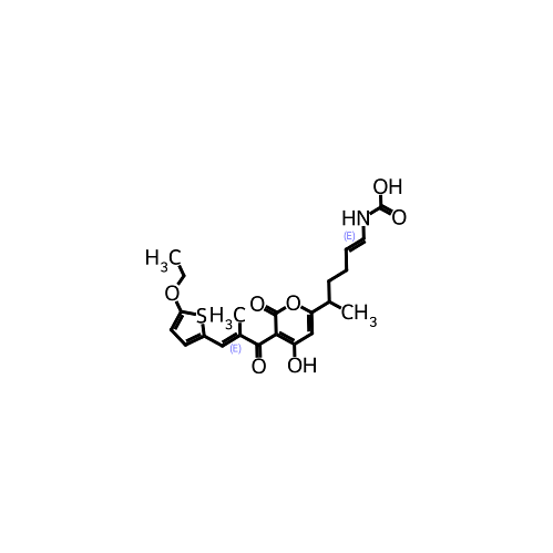 CCOc1ccc(/C=C(\C)C(=O)c2c(O)cc(C(C)CC/C=C/NC(=O)O)oc2=O)s1